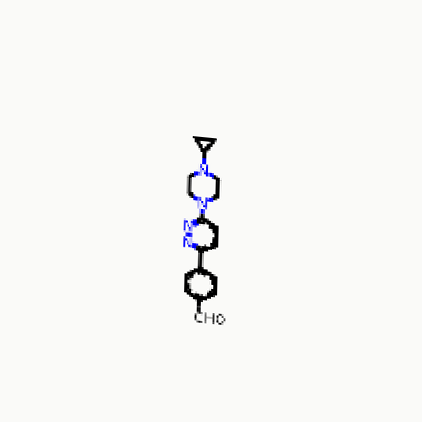 O=Cc1ccc(-c2ccc(N3CCN(C4CC4)CC3)nn2)cc1